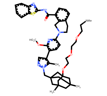 CNCCOCCOCCOC12CC3(C)CC(C)(CC(Cn4ncc(-c5ccc(N6CCc7cccc(C(=O)Nc8nc9ccccc9s8)c7C6)nc5OC(=O)O)c4C)(C3)C1)C2